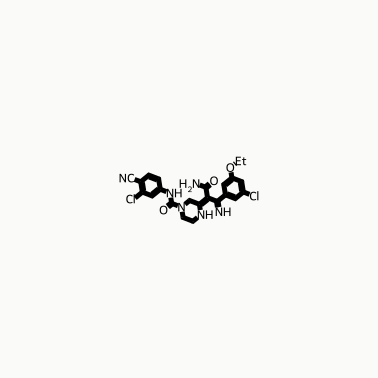 CCOc1cc(Cl)cc(C(=N)/C(C(N)=O)=C2/CN(C(=O)Nc3ccc(C#N)c(Cl)c3)CCN2)c1